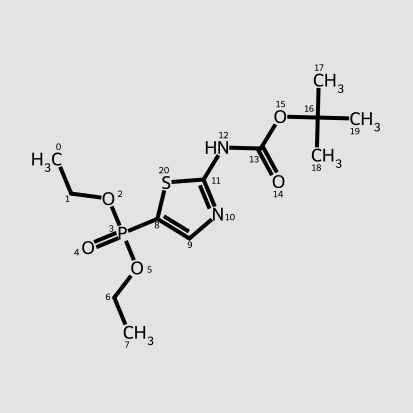 CCOP(=O)(OCC)c1cnc(NC(=O)OC(C)(C)C)s1